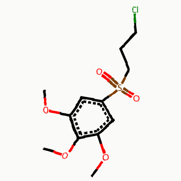 COc1cc(S(=O)(=O)CCCCl)cc(OC)c1OC